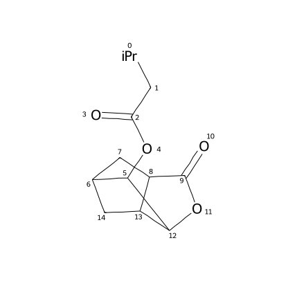 CC(C)CC(=O)OC1C2CC3C(=O)OC1C3C2